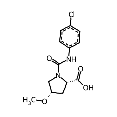 CO[C@H]1C[C@@H](C(=O)O)N(C(=O)Nc2ccc(Cl)cc2)C1